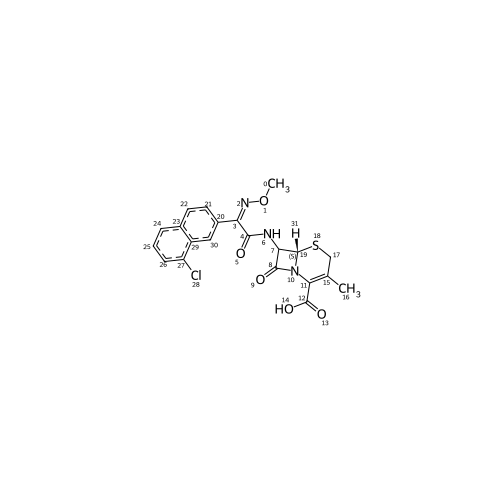 CON=C(C(=O)NC1C(=O)N2C(C(=O)O)=C(C)CS[C@@H]12)c1ccc2cccc(Cl)c2c1